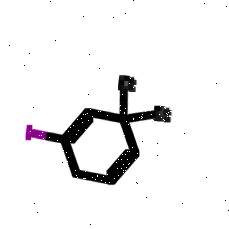 CCC1(CC)C=CCC(I)=C1